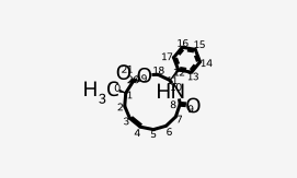 C[C@@H]1C/C=C\CCCC(=O)N[C@H](c2ccccc2)COC1=O